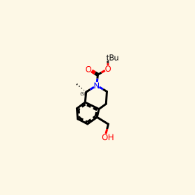 C[C@H]1c2cccc(CO)c2CCN1C(=O)OC(C)(C)C